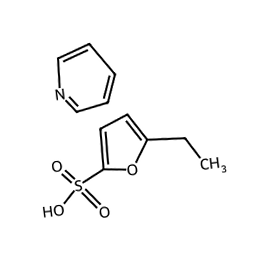 CCc1ccc(S(=O)(=O)O)o1.c1ccncc1